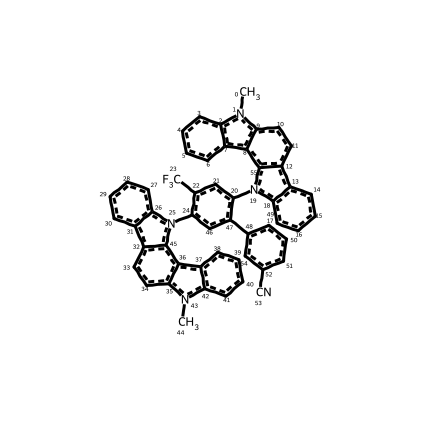 Cn1c2ccccc2c2c1ccc1c3ccccc3n(-c3cc(C(F)(F)F)c(-n4c5ccccc5c5ccc6c(c7ccccc7n6C)c54)cc3-c3cccc(C#N)c3)c12